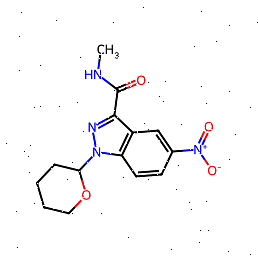 CNC(=O)c1nn(C2CCCCO2)c2ccc([N+](=O)[O-])cc12